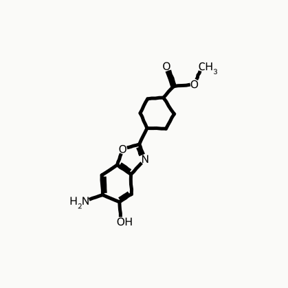 COC(=O)C1CCC(c2nc3cc(O)c(N)cc3o2)CC1